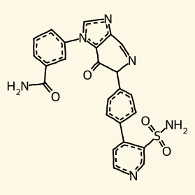 NC(=O)c1cccc(-n2cnc3c2C(=O)C(c2ccc(-c4ccncc4S(N)(=O)=O)cc2)N=C3)c1